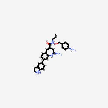 CCCN(OCc1ccc(N)cc1)C(=O)C1=Cc2ccc(-c3ccc4c(c3)CCN4)cc2N=C(N)C1